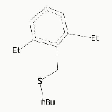 CCCCSCc1c(CC)cccc1CC